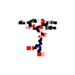 CCCCCCCCC(CCCCCCCC)C(=O)OCC(COC(=O)OCCCN(CCO)CCO)COC(=O)C(CCCCCC)CCCCCC